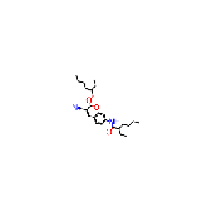 CCCCC(CC)COC(=O)C(C#N)=Cc1ccc(NC(=O)C(CC)CCCC)cc1